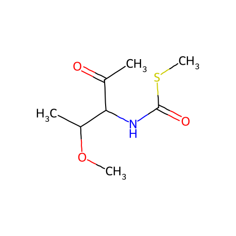 COC(C)C(NC(=O)SC)C(C)=O